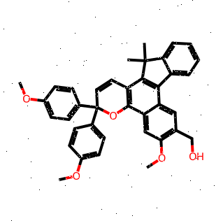 COc1ccc(C2(c3ccc(OC)cc3)C=Cc3c4c(c5cc(CO)c(OC)cc5c3O2)-c2ccccc2C4(C)C)cc1